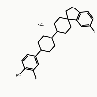 Cl.N#Cc1ccc(N2CCN(C3CCC4(CC3)COc3ccc(F)cc34)CC2)cc1F